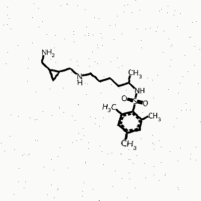 Cc1cc(C)c(S(=O)(=O)NC(C)CCCCNCC2CC2CN)c(C)c1